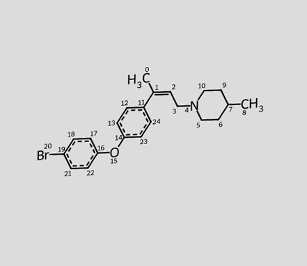 CC(=CCN1CCC(C)CC1)c1ccc(Oc2ccc(Br)cc2)cc1